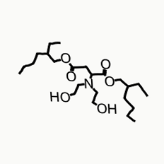 CCCCC(CC)COC(=O)CC(C(=O)OCC(CC)CCCC)N(CCO)CCO